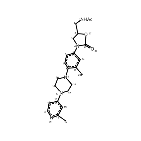 CC(=O)NCC1CN(c2ccc(N3CCN(c4ccnc(C)c4)CC3)c(F)c2)C(=O)O1